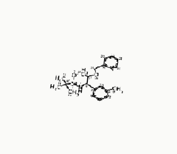 Cc1cccc(C(N[S@@+]([O-])C(C)(C)C)C(C)OCc2ccccc2)c1